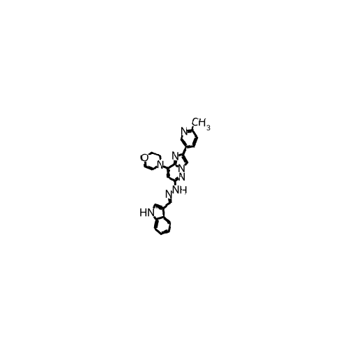 Cc1ccc(-c2cn3nc(NN=Cc4c[nH]c5ccccc45)cc(N4CCOCC4)c3n2)cn1